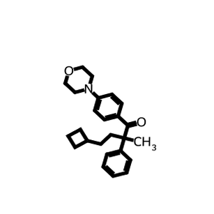 CC(CCC1CCC1)(C(=O)c1ccc(N2CCOCC2)cc1)c1ccccc1